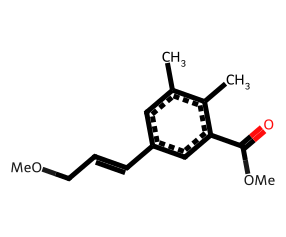 COCC=Cc1cc(C)c(C)c(C(=O)OC)c1